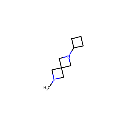 CN1CC2(C1)CN(C1CCC1)C2